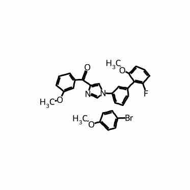 COc1ccc(Br)cc1.COc1cccc(C(=O)c2cn(-c3cccc(-c4c(F)cccc4OC)c3)cn2)c1